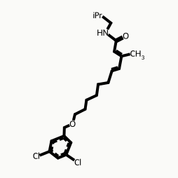 CC(C=CCCCCCCOCc1cc(Cl)cc(Cl)c1)=CC(=O)NCC(C)C